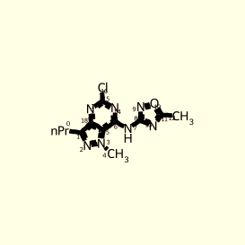 CCCc1nn(C)c2c(Nc3noc(C)n3)nc(Cl)nc12